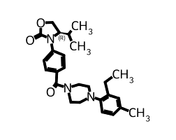 CCc1cc(C)ccc1N1CCN(C(=O)c2ccc(N3C(=O)OC[C@H]3C(C)C)cc2)CC1